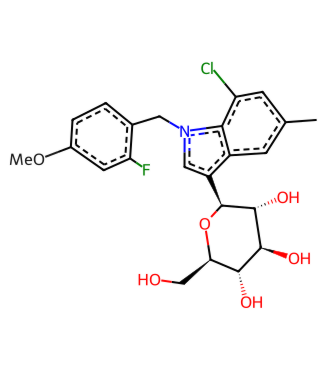 COc1ccc(Cn2cc([C@@H]3O[C@H](CO)[C@@H](O)[C@H](O)[C@H]3O)c3cc(C)cc(Cl)c32)c(F)c1